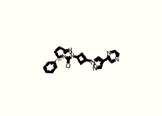 O=c1n(C2CC(n3cc(-c4cnccn4)cn3)C2)nc2n1[C@H](c1ccccc1)CC2